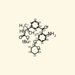 CC(C)(C)OC(=O)NC(C)(C)c1cccc(C(=O)c2cc(OC3CCCCO3)ccc2N)c1